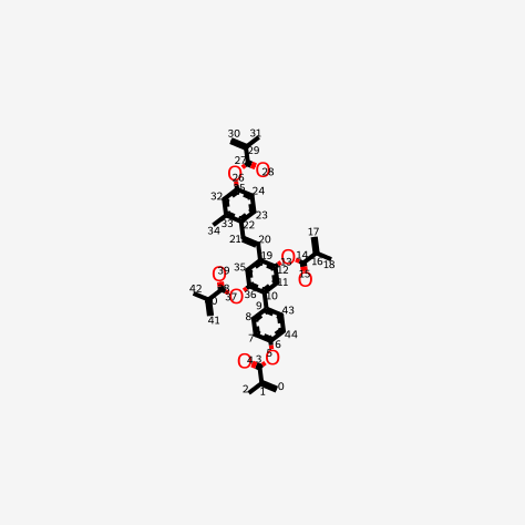 C=C(C)C(=O)Oc1ccc(-c2cc(OC(=O)C(=C)C)c(/C=C/c3ccc(OC(=O)C(=C)C)cc3C)cc2OC(=O)C(=C)C)cc1